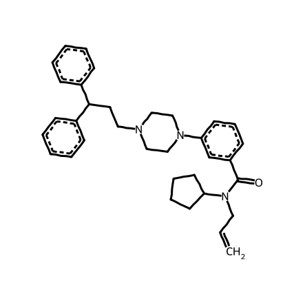 C=CCN(C(=O)c1cccc(N2CCN(CCC(c3ccccc3)c3ccccc3)CC2)c1)C1CCCC1